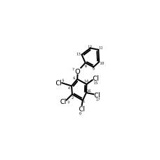 Clc1c(Cl)c(Cl)c(Oc2ccccc2)c(Cl)c1Cl